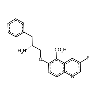 N[C@@H](COc1ccc2ncc(F)cc2c1C(=O)O)Cc1ccccc1